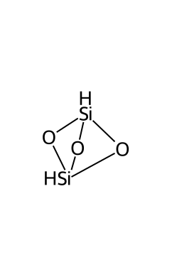 O1[SiH]2O[SiH]1O2